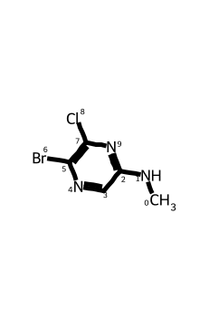 CNc1cnc(Br)c(Cl)n1